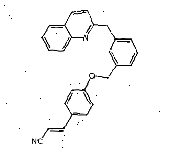 N#CC=Cc1ccc(OCc2cccc(Cc3ccc4ccccc4n3)c2)cc1